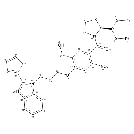 CCSC(SCC)[C@@H]1CCCN1C(=O)c1cc(CO)c(OCCCn2c(C3=CC=CC3)nc3ccccc32)cc1[N+](=O)[O-]